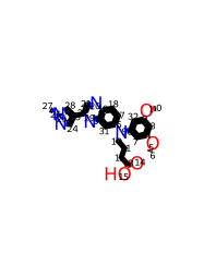 COc1cc(OC)cc(N(CCCC(=O)O)c2ccc3ncc(-c4cnn(C)c4)nc3c2)c1